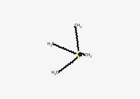 [CH2]CCc1cc(SCCCCCCCCCCCCCCCCCCC)c(SCCCCCCCCCCCCCCCCCCC)c(SCCCCCCCCCCCCCCCCCCC)c1